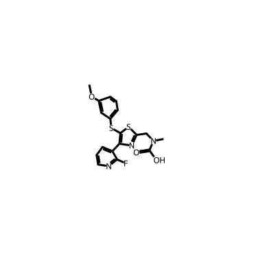 COc1cccc(Sc2sc(CN(C)C(=O)O)nc2-c2cccnc2F)c1